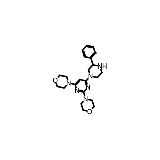 c1ccc(C2CN(c3cc(N4CCOCC4)nc(N4CCOCC4)n3)CCN2)cc1